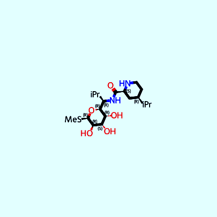 CS[C@H]1O[C@H]([C@H](NC(=O)[C@@H]2C[C@H](C(C)C)CCN2)C(C)C)[C@H](O)[C@H](O)[C@H]1O